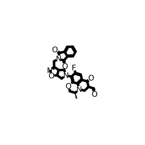 C[C@H]1COc2c(N3CC4ON=C(CN5C(=O)c6ccccc6C5=O)C4C3)c(F)cc3c2N1CC(C=O)C3=O